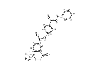 CC1(C)CCC(=O)c2cc(C(=O)Oc3ccc(C(=O)OCc4ccccc4)cc3)ccc21